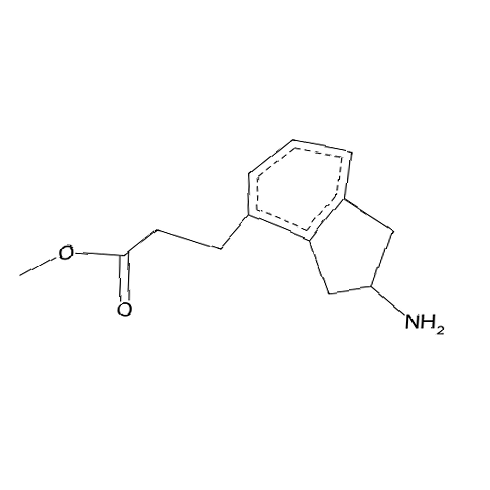 COC(=O)CCc1cccc2c1CC(N)C2